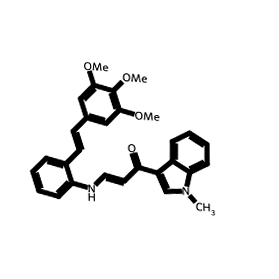 COc1cc(C=Cc2ccccc2NC=CC(=O)c2cn(C)c3ccccc23)cc(OC)c1OC